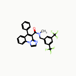 CN(Cc1cc(C(F)(F)F)cc(C(F)(F)F)c1)C(=O)c1c(-c2ccccc2)c2ccccc2n2ccnc12